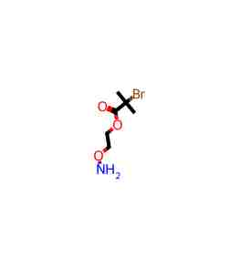 CC(C)(Br)C(=O)OCCON